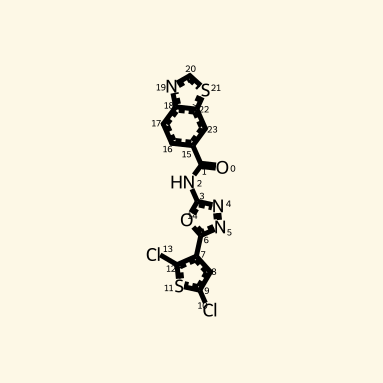 O=C(Nc1nnc(-c2cc(Cl)sc2Cl)o1)c1ccc2ncsc2c1